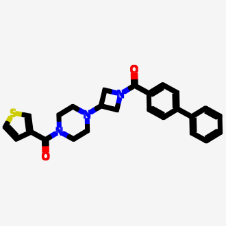 O=C(c1ccsc1)N1CCN(C2CN(C(=O)c3ccc(-c4ccccc4)cc3)C2)CC1